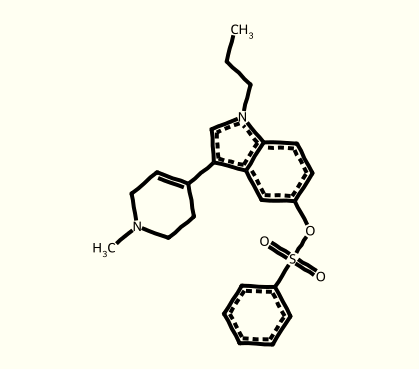 CCCn1cc(C2=CCN(C)CC2)c2cc(OS(=O)(=O)c3ccccc3)ccc21